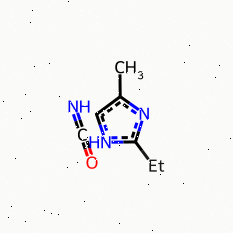 CCc1nc(C)c[nH]1.N=C=O